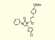 COc1ccc(C=CC(=O)n2c(-c3ccc(Cl)s3)cn(-c3ccccc3)c2=O)cc1